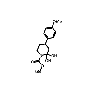 COc1ccc(C2CCN(C(=O)OC(C)(C)C)C(O)(O)C2)cc1